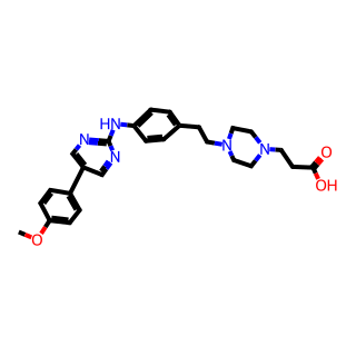 COc1ccc(-c2cnc(Nc3ccc(CCN4CCN(CCC(=O)O)CC4)cc3)nc2)cc1